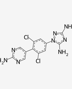 Nc1ncc(-c2c(Cl)cc(-n3nc(N)nc3N)cc2Cl)cn1